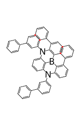 c1ccc(-c2cccc(N3c4cccc(-c5ccccc5)c4B4c5cccc(-c6ccccc6)c5N(c5cccc(-c6ccccc6)c5)c5cccc3c54)c2)cc1